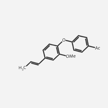 CC=Cc1ccc(Oc2ccc(C(C)=O)cc2)c(OC)c1